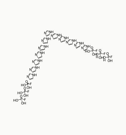 O=P(O)(O)F.O=P(O)(O)F.O=P(O)(O)F.O=P(O)(O)F.O=P(O)(O)F.O=P(O)(O)F.c1c[nH]cn1.c1c[nH]cn1.c1c[nH]cn1.c1c[nH]cn1.c1c[nH]cn1.c1c[nH]cn1.c1c[nH]cn1.c1c[nH]cn1.c1c[nH]cn1.c1c[nH]cn1.c1c[nH]cn1.c1c[nH]cn1